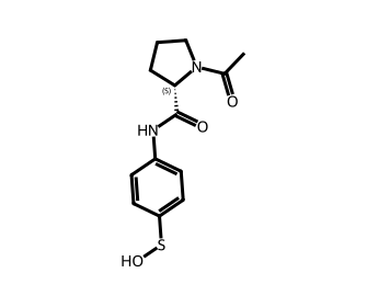 CC(=O)N1CCC[C@H]1C(=O)Nc1ccc(SO)cc1